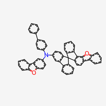 c1ccc(-c2ccc(N(c3ccc4c(c3)-c3ccccc3C43c4ccccc4-c4c3ccc3c4oc4ccccc43)c3ccc4oc5ccccc5c4c3)cc2)cc1